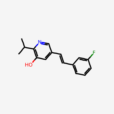 CC(C)c1ncc(/C=C/c2cccc(F)c2)cc1O